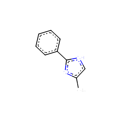 CC(=O)Oc1c[nH]c(-c2ccccc2)n1